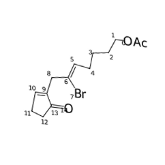 CC(=O)OCCCCC=C(Br)CC1=CCCC1=O